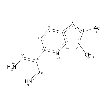 CC(=O)c1cc2ccc(/C(C=N)=C/N)nc2n1C